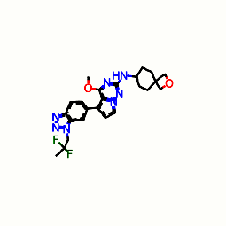 COc1nc(NC2CCC3(CC2)COC3)nn2ccc(-c3ccc4nnn(CC(C)(F)F)c4c3)c12